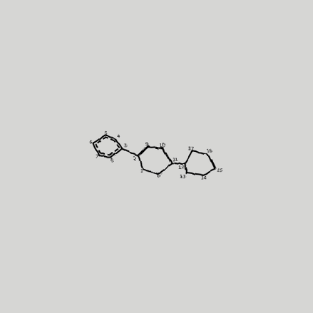 [CH]1CC(c2ccccc2)CCC1C1CCCCC1